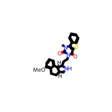 COc1cccc2c1CC[C@@H]1CNC(CCn3c(=O)c4sc5ccccc5c4n(C)c3=O)[C@@H]21